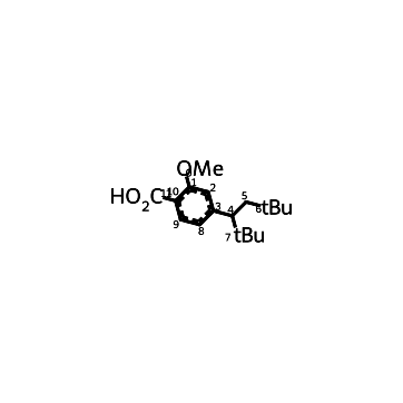 COc1cc(C(CC(C)(C)C)C(C)(C)C)ccc1C(=O)O